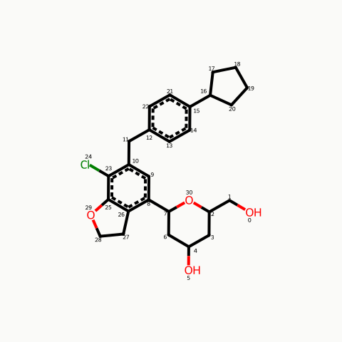 OCC1CC(O)CC(c2cc(Cc3ccc(C4CCCC4)cc3)c(Cl)c3c2CCO3)O1